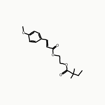 CCC(C)(C)C(=O)OCCOC(=O)/C=C/c1ccc(OC)cc1